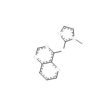 Cn1ccnc1Sc1ncnc2cccnc12